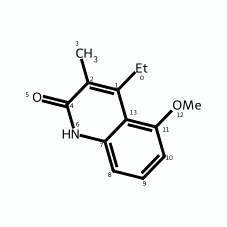 CCc1c(C)c(=O)[nH]c2cccc(OC)c12